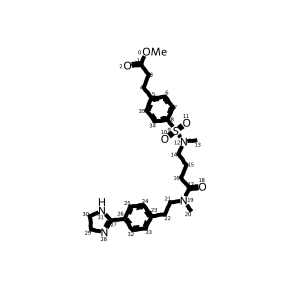 COC(=O)CCc1ccc(S(=O)(=O)N(C)CCCC(=O)N(C)CCc2ccc(C3=NCCN3)cc2)cc1